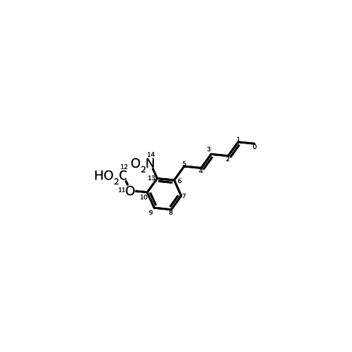 CC=CC=CCc1cccc(OC(=O)O)c1[N+](=O)[O-]